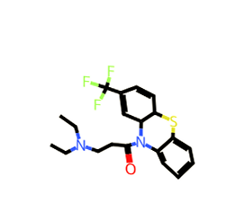 CCN(CC)CCC(=O)N1c2ccccc2SC2C=CC(C(F)(F)F)=CC21